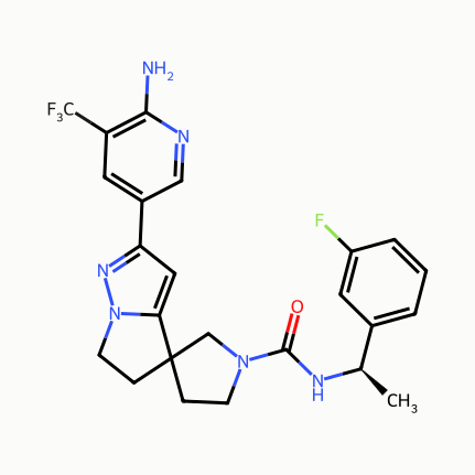 C[C@@H](NC(=O)N1CCC2(CCn3nc(-c4cnc(N)c(C(F)(F)F)c4)cc32)C1)c1cccc(F)c1